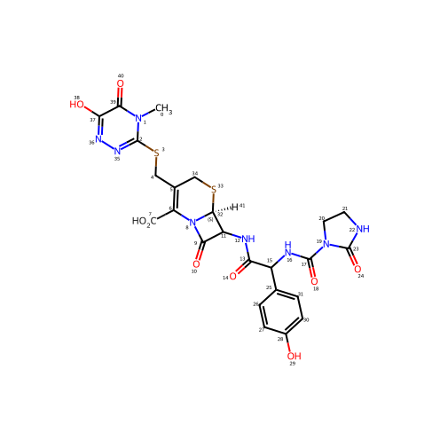 Cn1c(SCC2=C(C(=O)O)N3C(=O)C(NC(=O)C(NC(=O)N4CCNC4=O)c4ccc(O)cc4)[C@@H]3SC2)nnc(O)c1=O